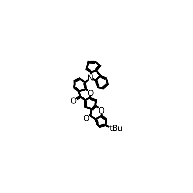 CC(C)(C)c1ccc2c(=O)c3cc4c(=O)c5cccc(-n6c7ccccc7c7ccccc76)c5oc4cc3oc2c1